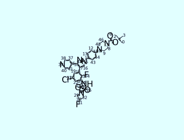 CC(C)(C)OC(=O)N1CCN(c2ccc(-n3cc(-c4cc(Cl)cc(NS(=O)(=O)N5CC(F)C5)c4F)c(-c4ccncc4)n3)cc2)CC1